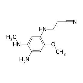 CNc1cc(NCCC#N)c(OC)cc1N